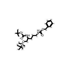 CC(C)(C)OC(=O)NC(CCCNC(=O)OCc1ccccc1)CO[Si](C)(C)C(C)(C)C